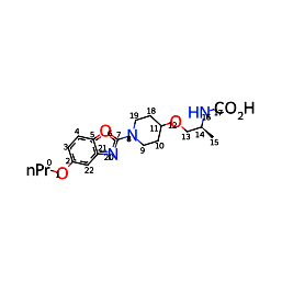 CCCOc1ccc2oc(N3CCC(OC[C@H](C)NC(=O)O)CC3)nc2c1